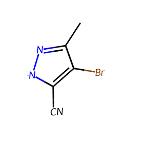 CC1=N[N]C(C#N)=C1Br